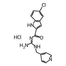 Cl.NC(=NC(=O)c1cc2cc(Cl)ccc2[nH]1)NCc1ccncc1